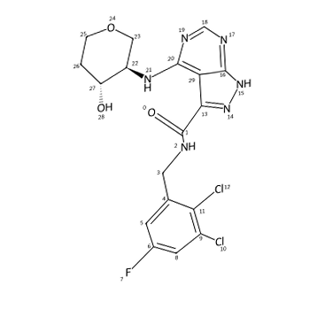 O=C(NCc1cc(F)cc(Cl)c1Cl)c1n[nH]c2ncnc(N[C@@H]3COCC[C@H]3O)c12